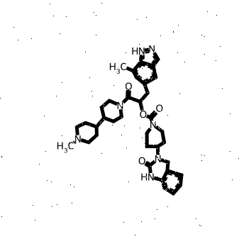 Cc1cc(CC(OC(=O)N2CCC(N3Cc4ccccc4NC3=O)CC2)C(=O)N2CCC(C3CCN(C)CC3)CC2)cc2cn[nH]c12